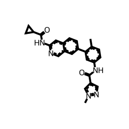 Cc1ccc(NC(=O)c2cnn(C)c2)cc1-c1ccc2cc(NC(=O)C3CC3)ncc2c1